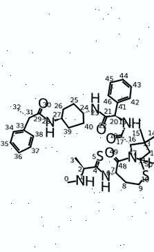 CN[C@@H](C)C(=S)N[C@H]1CCS[C@H]2CC(C)(C)[C@@H](C(=O)N[C@@H](C(=O)N[C@H]3CC[C@H](NC(=O)[C@@H](C)c4ccccc4)CC3)c3ccccc3)N2C1=O